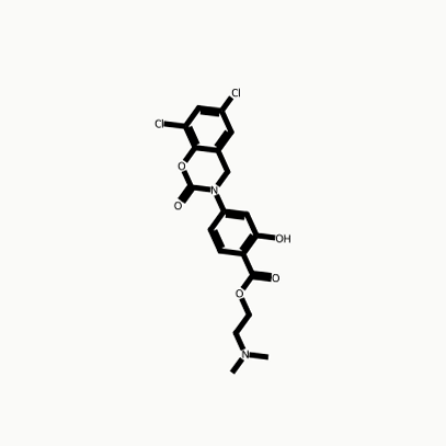 CN(C)CCOC(=O)c1ccc(N2Cc3cc(Cl)cc(Cl)c3OC2=O)cc1O